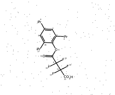 CC(C)c1cc(C(C)C)c(OC(=O)C(F)(F)C(F)(F)C(=O)O)c(C(C)C)c1